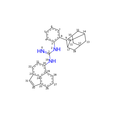 N=C(Nc1ccccc1C1C2CC3CC(C2)CC1C3)Nc1ccc2c3c(cccc13)C=C2